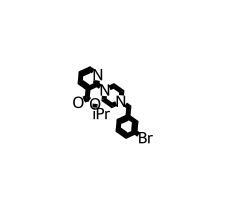 CC(C)OC(=O)c1cccnc1N1CCN(Cc2cccc(Br)c2)CC1